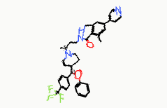 Cc1cc(-c2ccncc2)cc(C)c1C(=O)NCC[C@H](C)N1CCC([C@@H](Oc2ccccc2)c2ccc(C(F)(F)F)cc2)CC1